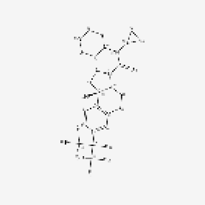 O=C(N1CC[C@H]2c3ccc(C(F)(C(F)(F)F)C(F)(F)F)cc3CCC21)N(C1CCOCC1)C1CC1